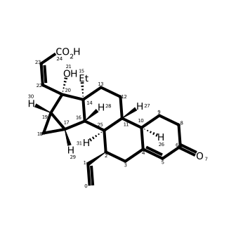 C=C[C@@H]1CC2=CC(=O)CC[C@@H]2[C@H]2CC[C@@]3(CC)[C@@H]([C@@H]4C[C@@H]4[C@@]3(O)/C=C\C(=O)O)[C@@H]21